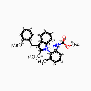 COc1ccccc1Cc1c(C(=O)O)n(-c2c(C)cccc2NC(=O)OC(C)(C)C)c2ccccc12